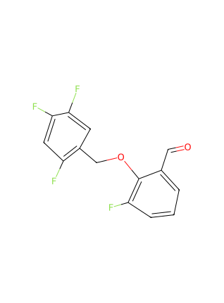 O=Cc1cccc(F)c1OCc1cc(F)c(F)cc1F